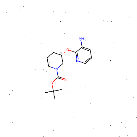 CC(C)(C)OC(=O)N1CCC[C@H](Oc2ncccc2N)C1